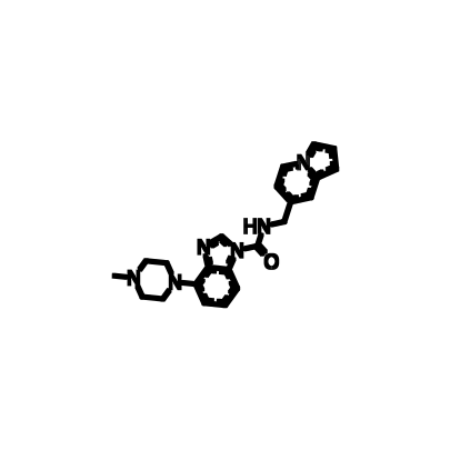 CN1CCN(c2cccc3c2ncn3C(=O)NCc2ccn3cccc3c2)CC1